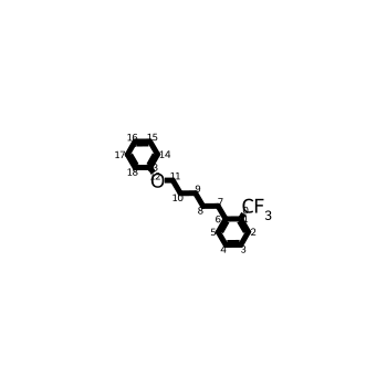 FC(F)(F)c1ccccc1CCCCCOc1cc[c]cc1